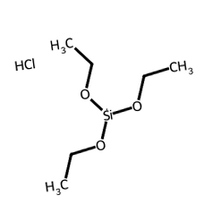 CCO[Si](OCC)OCC.Cl